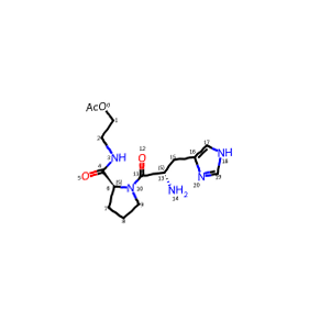 CC(=O)OCCNC(=O)[C@@H]1CCCN1C(=O)[C@@H](N)Cc1c[nH]cn1